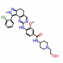 COc1cc(C(=O)NC2CCN(CCO)CC2)ccc1Nc1ncc2c(n1)-c1c(nn(C)c1-c1ccccc1Cl)CC2